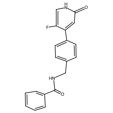 O=C(NCc1ccc(-c2cc(=O)[nH]cc2F)cc1)c1ccccc1